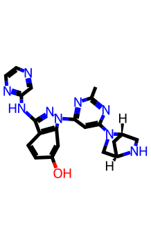 Cc1nc(N2C[C@@H]3C[C@H]2CN3)cc(-n2nc(Nc3cnccn3)c3ccc(O)cc32)n1